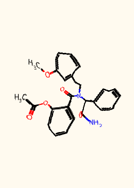 COc1cccc(CN(C(=O)c2ccccc2OC(C)=O)C(C(N)=O)c2ccccc2)c1